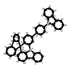 c1ccc2c(c1)B1c3cc(-c4ccc(-n5c6ccccc6c6ccccc65)cc4)ccc3C3(c4ccccc4-c4ccccc43)c3cccc-2c31